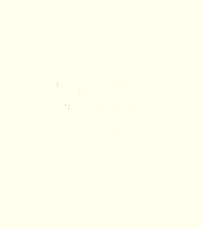 CC(=O)c1cccc2nc(S)oc12